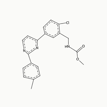 COC(=O)NCc1cc(-c2ccnc(-c3ccc(C)cc3)n2)ccc1Cl